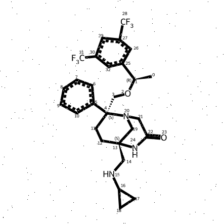 C[C@@H](OC[C@@]1(c2ccccc2)CC[C@]2(CNC3CC3)CN1CC(=O)N2)c1cc(C(F)(F)F)cc(C(F)(F)F)c1